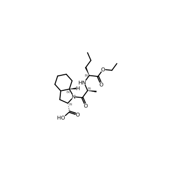 CCC[C@H](N[C@@H](C)C(=O)N1[C@H](C(=O)O)CC2CCCC[C@@H]21)C(=O)OCC